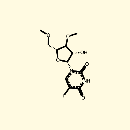 COC[C@H]1O[C@@H](n2cc(I)c(=O)[nH]c2=O)[C@@H](O)C1OC